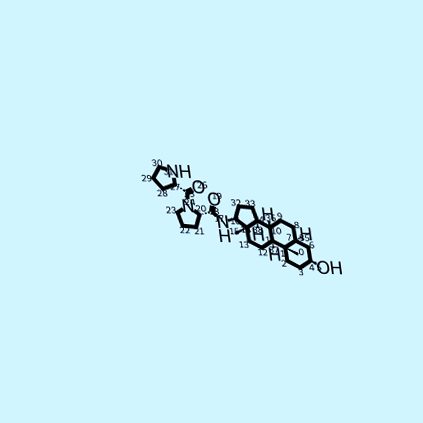 C[C@]12CC[C@H](O)C[C@@H]1CC[C@@H]1[C@@H]2CC[C@]2(C)[C@@H](NC(=O)[C@@H]3CCCN3C(=O)[C@@H]3CCCN3)CC[C@@H]12